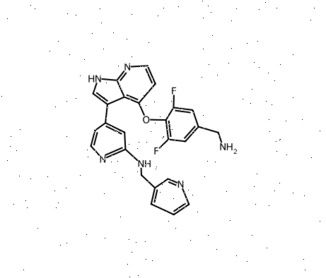 NCc1cc(F)c(Oc2ccnc3[nH]cc(-c4ccnc(NCc5cccnc5)c4)c23)c(F)c1